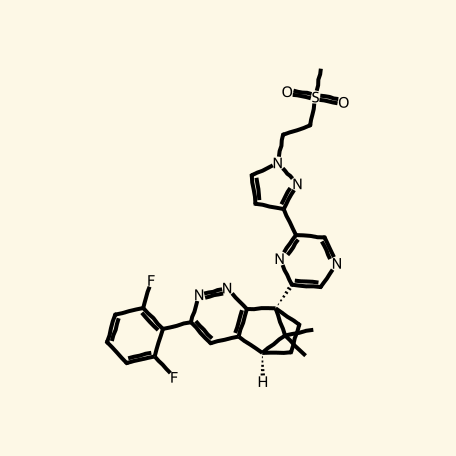 CC1(C)[C@H]2CC[C@]1(c1cncc(-c3ccn(CCS(C)(=O)=O)n3)n1)c1nnc(-c3c(F)cccc3F)cc12